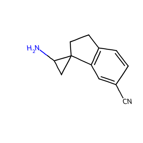 N#Cc1ccc2c(c1)C1(CC2)CC1N